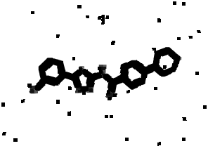 O=C(Nc1nnc(-c2cccc(Cl)c2)s1)c1ccc(C2CC[CH]CC2)cc1